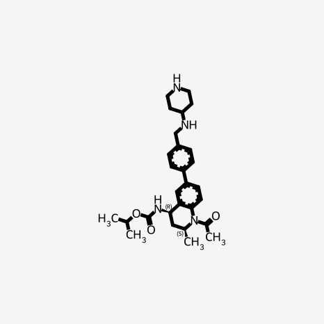 CC(=O)N1c2ccc(-c3ccc(CNC4CCNCC4)cc3)cc2[C@H](NC(=O)OC(C)C)C[C@@H]1C